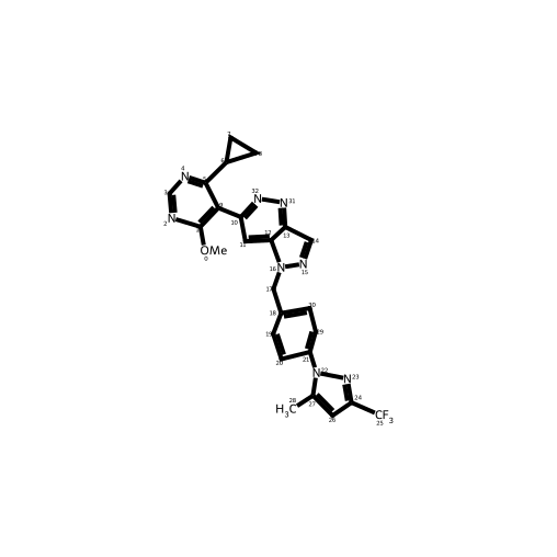 COc1ncnc(C2CC2)c1-c1cc2c(cnn2Cc2ccc(-n3nc(C(F)(F)F)cc3C)cc2)nn1